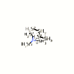 [SiH3]N([SiH3])[SiH3].[SiH3][SiH2][SiH2][SiH3]